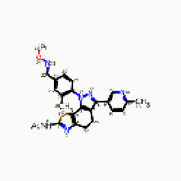 CC(=O)Nc1nc2c(s1)-c1c(c(-c3ccc(C)nc3)nn1-c1ccc(C=NOC(C)C)cc1C)CC2